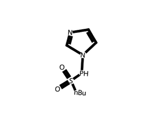 CCCCS(=O)(=O)Pn1ccnc1